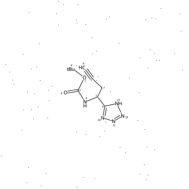 C#CCC(NC(=O)OC(C)(C)C)c1nnn[nH]1